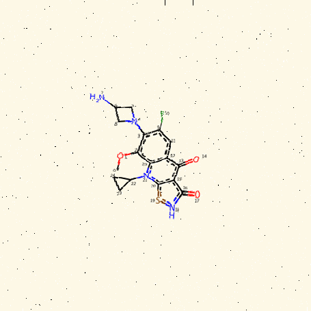 COc1c(N2CC(N)C2)c(F)cc2c(=O)c3c(=O)[nH]sc3n(C3CC3)c12